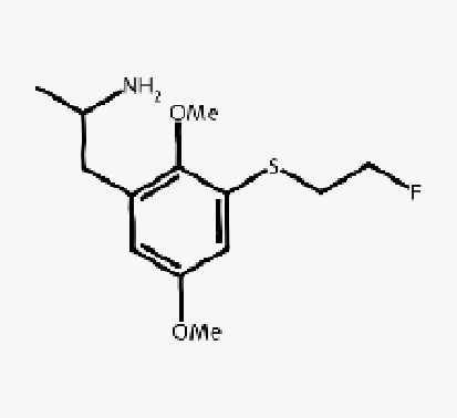 COc1cc(CC(C)N)c(OC)c(SCCF)c1